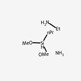 CCC[SiH](OC)OC.CCN.N